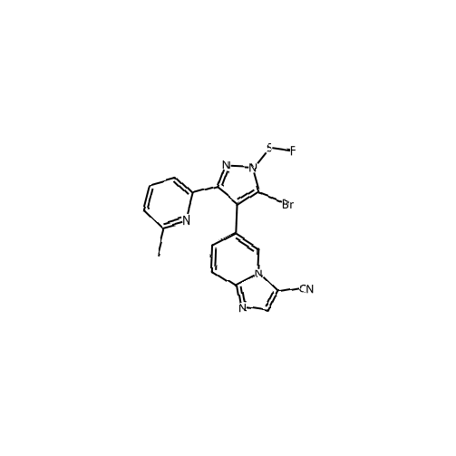 Cc1cccc(-c2nn(SF)c(Br)c2-c2ccc3ncc(C#N)n3c2)n1